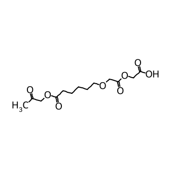 CC(=O)COC(=O)CCCCCOCC(=O)OCC(=O)O